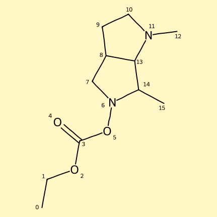 CCOC(=O)ON1CC2CCN(C)C2C1C